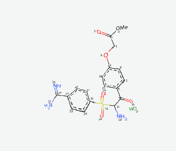 COC(=O)COc1ccc(C(=O)C(N)S(=O)(=O)c2ccc(C(=N)N)cc2)cc1.Cl